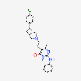 Cc1nc(Nc2ccccc2)n(C)c(=O)c1CCN1CC2CC(c3ccc(Cl)cc3)C2C1